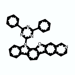 c1ccc(-c2nc(-c3ccccc3)nc(-n3c4ccccc4c4ccc5c6cc7ccncc7cc6oc5c43)n2)cc1